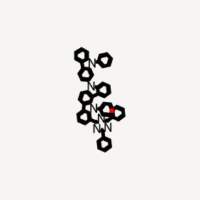 c1ccc(-c2nc(-c3ccccc3)nc(-c3cccc4c5ccc6c(c7ccccc7n6-c6ccc7c8ccccc8n(-c8ccccc8)c7c6)c5n(-c5ccccc5)c34)n2)cc1